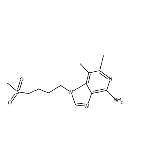 Cc1nc(N)c2ncn(CCCCS(C)(=O)=O)c2c1C